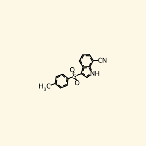 Cc1ccc(S(=O)(=O)c2c[nH]c3c(C#N)cccc23)cc1